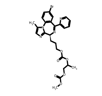 COC(=O)OCC(C)OC(=O)OCCC[C@@H]1N=C(c2ccccn2)c2cc(Br)ccc2-n2c(C)cnc21